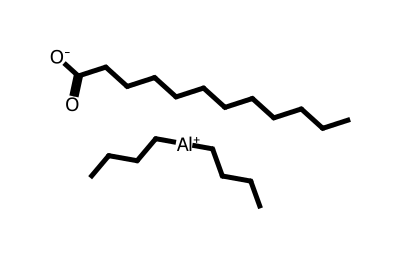 CCCCCCCCCCCC(=O)[O-].CCC[CH2][Al+][CH2]CCC